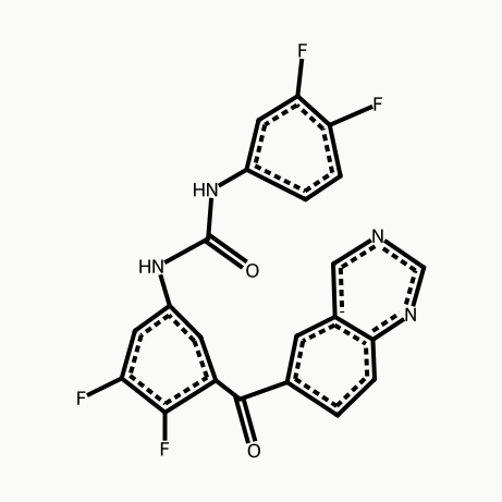 O=C(Nc1ccc(F)c(F)c1)Nc1cc(F)c(F)c(C(=O)c2ccc3ncncc3c2)c1